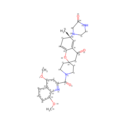 COc1cc(C(=O)N2CCC3(CC2)CC(=O)C2=C[C@@](C)(N4CCNC(=O)C4)CC=C2O3)nc2c(OC)cccc12